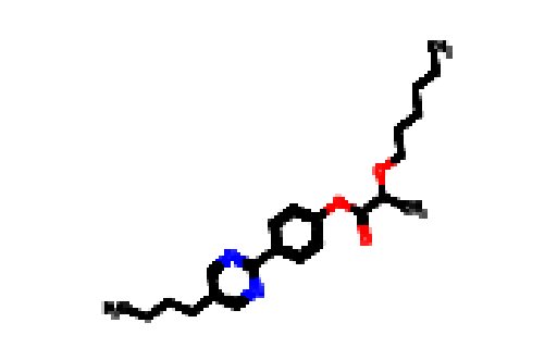 CCCCCCOC(C)C(=O)Oc1ccc(-c2ncc(CCCC)cn2)cc1